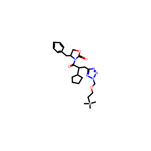 C[Si](C)(C)CCOCn1nnc(CC(C(=O)N2C(=O)OCC2Cc2ccccc2)C2CCCC2)n1